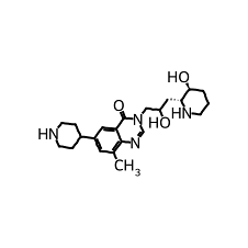 Cc1cc(C2CCNCC2)cc2c(=O)n(CC(O)C[C@H]3NCCC[C@@H]3O)cnc12